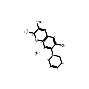 O=C([O-])C1=Cc2cc(Cl)c(N3CC=CCC3)cc2OC1C(F)(F)F.[Na+]